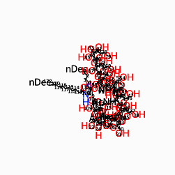 CCCCCCCCCCCCC/C=C/[C@@H](O)[C@H](CO[C@@H]1OC(CO)[C@@H](O[C@@H]2OC(CO)[C@H](O)[C@H](O[C@@H]3OC(CO)[C@@H](O[C@@H]4OC(CO)[C@H](O)[C@H](O[C@@H]5OC(CO)[C@@H](O[C@@H]6OC(CO)[C@H](O)[C@H](O[C@@H]7OC(CO)[C@@H](O[C@@H]8OC(CO)[C@H](O)[C@H](O[C@H]9OC(CO)[C@H](O)[C@H](O)C9O)C8O)[C@H](O)C7NC(C)=O)C6O)[C@H](O)C5NC(C)=O)C4O)[C@H](O)C3NC(C)=O)C2O)[C@H](O)C1O)NC(=O)CCCCCCCCCCCCCCCCCCC